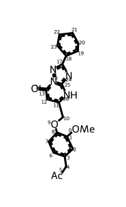 COc1cc(CC(C)=O)ccc1OCc1cc(=O)n2nc(-c3ccccc3)nc2[nH]1